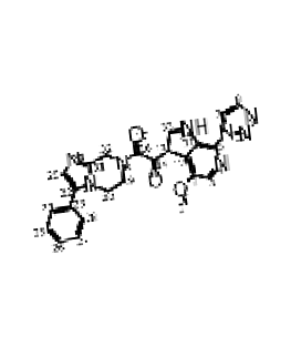 COc1cnc(-n2ccnn2)c2c1C(C(=O)C(=O)N1CCn3c(-c4ccccc4)cnc3C1)CN2